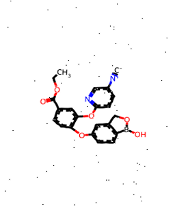 [C-]#[N+]c1ccc(Oc2cc(C(=O)OCC)ccc2Oc2ccc3c(c2)COB3O)nc1